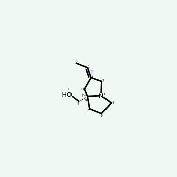 C/C=C1/CN2CCC[C@@]2(CO)C1